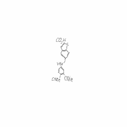 COc1ccc(NCc2ccc3sc(C(=O)O)cc3c2)cc1OC